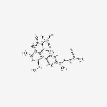 COc1cc(C)c2[nH]c(=O)c(C(F)(F)F)c(C)c2c1-c1ccc(C(C)COC(N)=O)cc1